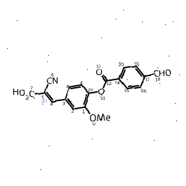 COc1cc(/C=C(\C#N)C(=O)O)ccc1OC(=O)c1ccc(C=O)cc1